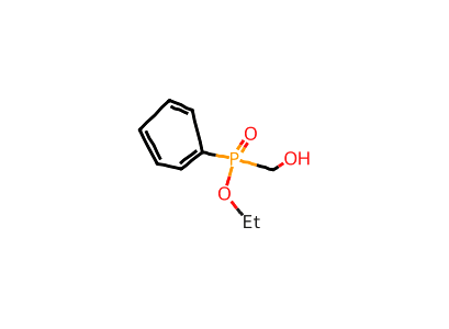 CCOP(=O)(CO)c1ccccc1